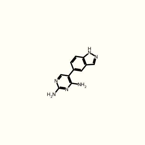 Nc1ncc(-c2ccc3[nH]ncc3c2)c(N)n1